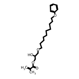 C=C(C)C(=O)OCC(O)COCCCCCCCCCCOc1ccccc1